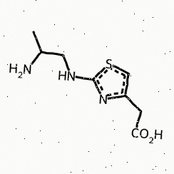 CC(N)CNc1nc(CC(=O)O)cs1